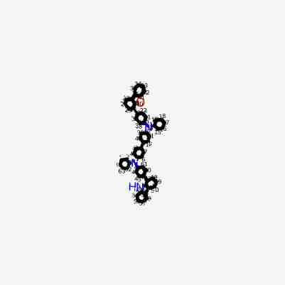 c1ccc(N(c2ccc(-c3ccc(N(c4ccccc4)c4ccc(-c5cccc6c5oc5ccccc56)cc4)cc3)cc2)c2ccc(-c3cccc4c3[nH]c3ccccc34)cc2)cc1